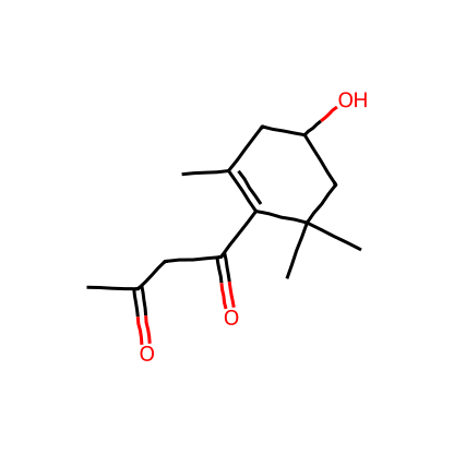 CC(=O)CC(=O)C1=C(C)CC(O)CC1(C)C